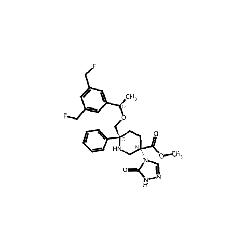 COC(=O)[C@]1(n2cn[nH]c2=O)CC[C@@](CO[C@H](C)c2cc(CF)cc(CF)c2)(c2ccccc2)NC1